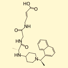 C[C@H](c1cccc2ccccc12)N1CCC(N[C@H](C)C(=O)NCC(=O)NC/C=C/C(=O)O)CC1